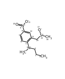 CCCN(C)c1ccc([N+](=O)[O-])cc1C[S+](C)[O-]